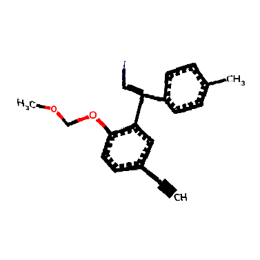 C#Cc1ccc(OCOC)c(C(=CI)c2ccc(C)cc2)c1